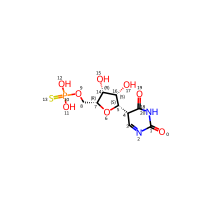 O=C1N=CC([C@@H]2O[C@H](COP(O)(O)=S)[C@H](O)[C@@H]2O)C(=O)N1